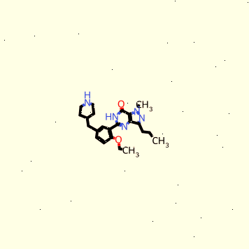 CCCc1nn(C)c2c(=O)[nH]c(-c3cc(CC4CCNCC4)ccc3OCC)nc12